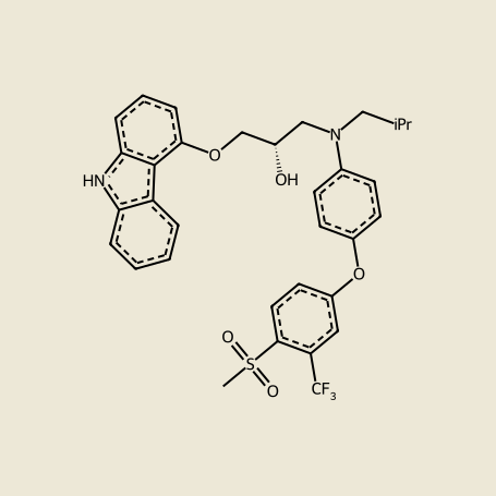 CC(C)CN(C[C@H](O)COc1cccc2[nH]c3ccccc3c12)c1ccc(Oc2ccc(S(C)(=O)=O)c(C(F)(F)F)c2)cc1